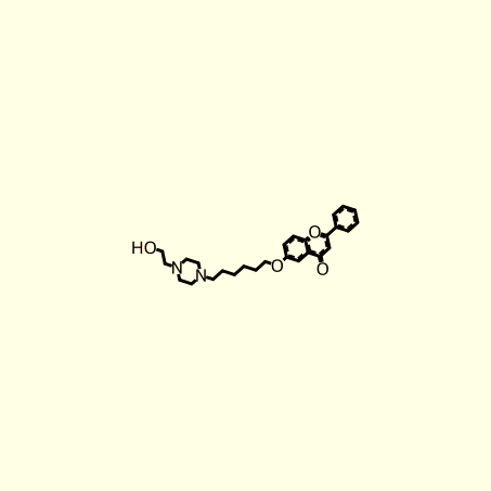 O=c1cc(-c2ccccc2)oc2ccc(OCCCCCCN3CCN(CCO)CC3)cc12